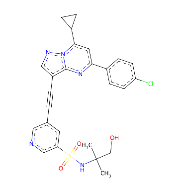 CC(C)(CO)NS(=O)(=O)c1cncc(C#Cc2cnn3c(C4CC4)cc(-c4ccc(Cl)cc4)nc23)c1